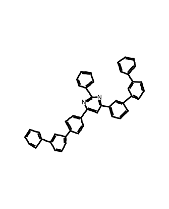 c1ccc(-c2cccc(-c3ccc(-c4cc(-c5cccc(-c6cccc(-c7ccccc7)c6)c5)nc(-c5ccccc5)n4)cc3)c2)cc1